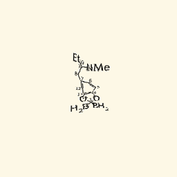 BC1(B)Oc2ccc(CC(CC)NC)cc2O1